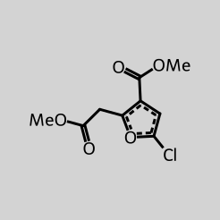 COC(=O)Cc1oc(Cl)cc1C(=O)OC